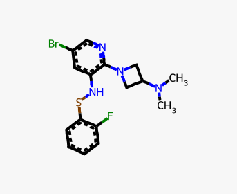 CN(C)C1CN(c2ncc(Br)cc2NSc2ccccc2F)C1